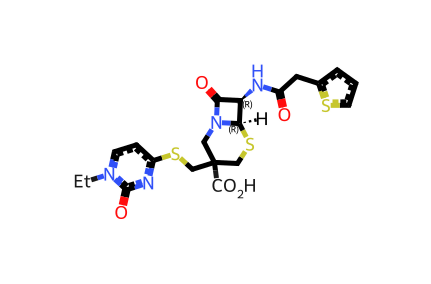 CCn1ccc(SCC2(C(=O)O)CS[C@@H]3[C@H](NC(=O)Cc4cccs4)C(=O)N3C2)nc1=O